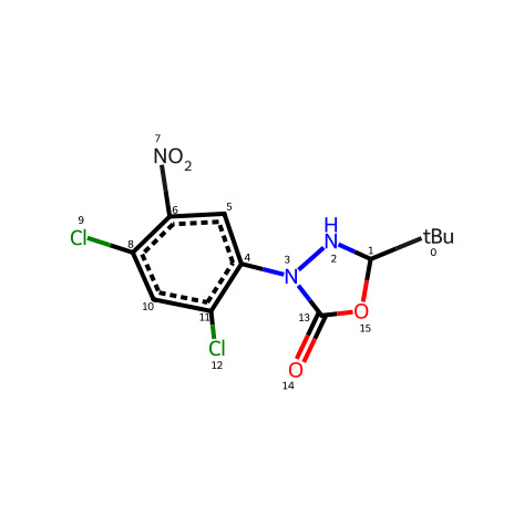 CC(C)(C)C1NN(c2cc([N+](=O)[O-])c(Cl)cc2Cl)C(=O)O1